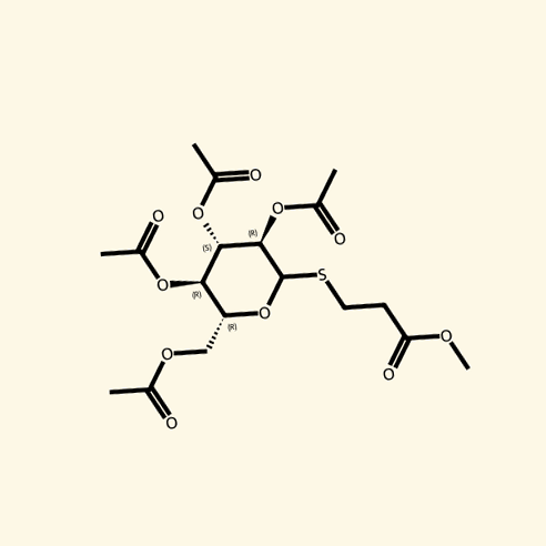 COC(=O)CCSC1O[C@H](COC(C)=O)[C@@H](OC(C)=O)[C@H](OC(C)=O)[C@H]1OC(C)=O